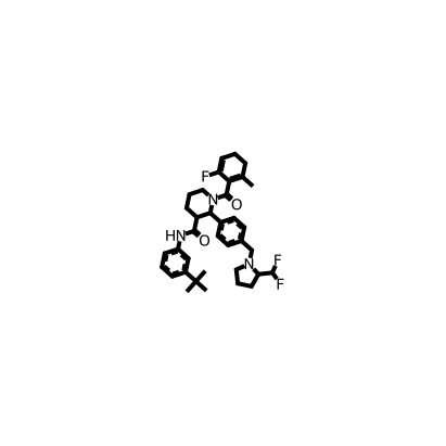 CC1=C(C(=O)N2CCCC(C(=O)Nc3cccc(C(C)(C)C)c3)C2c2ccc(CN3CCCC3C(F)F)cc2)C(F)=CCC1